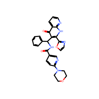 O=C(NC(c1ccccc1)c1c(-c2ncco2)[nH]c2ncccc2c1=O)c1ccc(N2CCOCC2)nc1